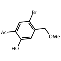 COCc1cc(O)c(C(C)=O)cc1Br